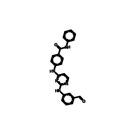 O=Cc1cccc(Nc2nccc(Nc3ccc(C(=O)Nc4ccccc4)cc3)n2)c1